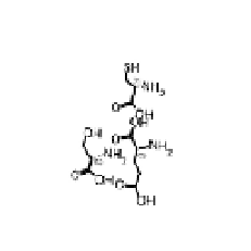 N[C@@H](CCC(=O)O)C(=O)O.N[C@@H](CO)C(=O)O.N[C@@H](CS)C(=O)O